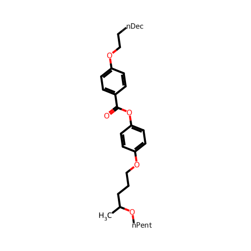 CCCCCCCCCCCCOc1ccc(C(=O)Oc2ccc(OCCCC(C)OCCCCC)cc2)cc1